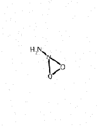 Nn1oo1